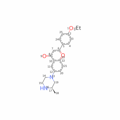 CCOc1ccc(-c2cc(=O)c3cc(N4CCN[C@H](C)C4)ccc3o2)cc1